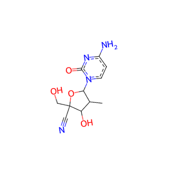 CC1C(n2ccc(N)nc2=O)OC(C#N)(CO)C1O